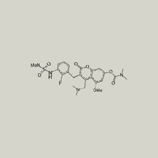 CNS(=O)(=O)Nc1cccc(Cc2c(CN(C)C)c3c(OC)cc(OC(=O)N(C)C)cc3oc2=O)c1F